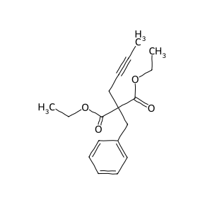 CC#CCC(Cc1ccccc1)(C(=O)OCC)C(=O)OCC